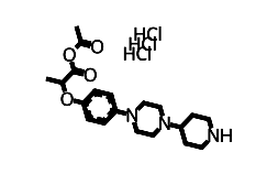 CC(=O)OC(=O)C(C)Oc1ccc(N2CCN(C3CCNCC3)CC2)cc1.Cl.Cl.Cl